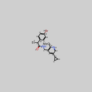 CCC(C(=O)NCc1cc(C2CC2)cnc1OC)c1ccc(Br)cc1